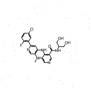 CNc1cnc(-c2cc(Cl)ccc2F)cc1Nc1ccncc1C(=O)NC(CO)CO